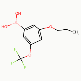 CCCOc1cc(OC(F)(F)F)cc(B(O)O)c1